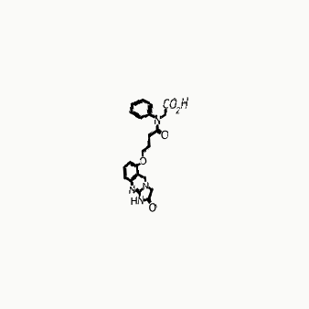 O=C(O)CN(C(=O)CCCOc1cccc2c1CN1CC(=O)NC1=N2)c1ccccc1